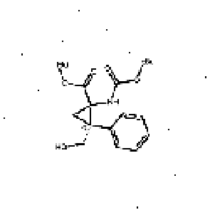 CC(C)(C)OC(=O)NC1(C(=O)OC(C)(C)C)C[C@]1(CO)c1ccccc1